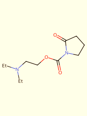 CCN(CC)CCOC(=O)N1CCCC1=O